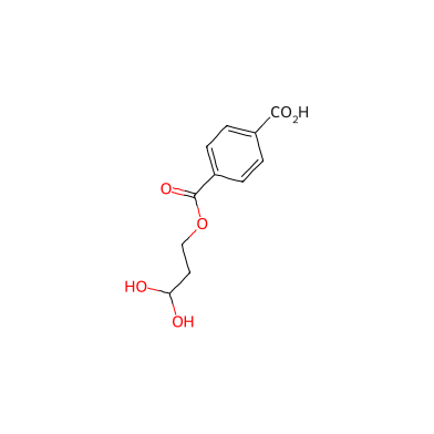 O=C(O)c1ccc(C(=O)OCCC(O)O)cc1